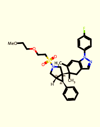 COCCOCCS(=O)(=O)N1C[C@H]2[C@H](c3ccccc3)[C@@]2(C2(C)Cc3cnn(-c4ccc(F)cc4)c3C=C2C)C1